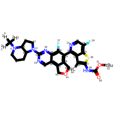 [2H]C([2H])([2H])N1CCCC2C1CCN2c1ncc2c3c(c(-c4ncc(F)c5sc(NC(=O)OC(C)(C)C)c(C#N)c45)c(F)c2n1)COC3